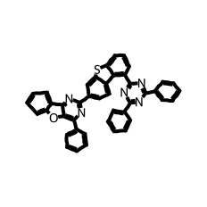 c1ccc(-c2nc(-c3ccccc3)nc(-c3cccc4sc5cc(-c6nc(-c7ccccc7)c7oc8ccccc8c7n6)ccc5c34)n2)cc1